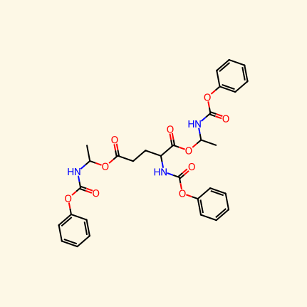 CC(NC(=O)Oc1ccccc1)OC(=O)CCC(NC(=O)Oc1ccccc1)C(=O)OC(C)NC(=O)Oc1ccccc1